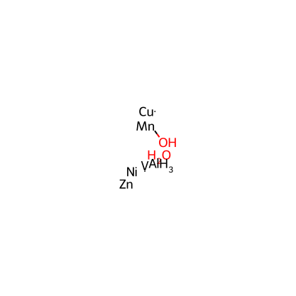 O.[AlH3].[Cu].[Ni].[OH][Mn].[V].[Zn]